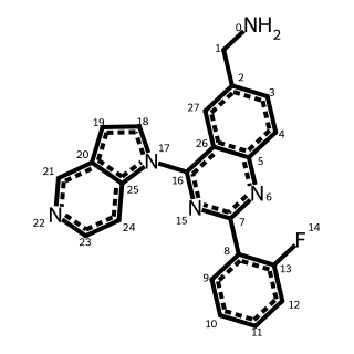 NCc1ccc2nc(-c3ccccc3F)nc(-n3ccc4cnccc43)c2c1